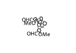 COc1cc2c(cc1C=O)CC/C2=C\c1cccc(-c2cccc(-c3ccc(C=O)c(OC)n3)c2Cl)c1Cl